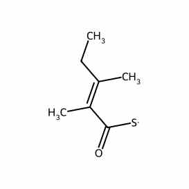 CC/C(C)=C(\C)C(=O)[S]